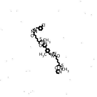 Cc1cc(-c2cnc3c(c2)OCC(CCCCC(=O)c2ncn(Cc4cccc(Cl)c4)n2)C(=S)N3C)ccc1Cn1cnc(C(=O)CCCCC2COc3cccnc3N(C)C2=S)n1